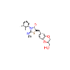 Cc1cccc(N2C(=O)/C(=C/c3ccc4c(c3)OCC(CO)O4)S/C2=N\C(C)C)c1C